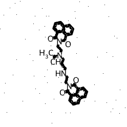 CC(C)N(CCCNCCN1C(=O)c2cccc3cccc(c23)C1=O)CCN1C(=O)c2cccc3cccc(c23)C1=O